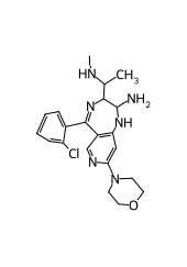 CC(NI)C1N=C(c2ccccc2Cl)c2cnc(N3CCOCC3)cc2NC1N